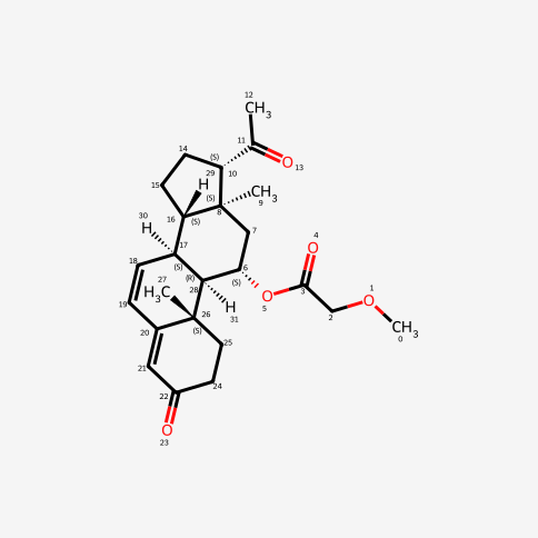 COCC(=O)O[C@H]1C[C@]2(C)[C@@H](C(C)=O)CC[C@H]2[C@@H]2C=CC3=CC(=O)CC[C@@]3(C)[C@@H]21